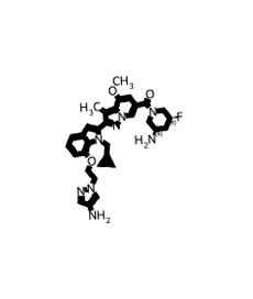 COc1cc(C(=O)N2C[C@H](N)C[C@@H](F)C2)cn2nc(-c3cc4cccc(OCCn5cc(N)cn5)c4n3CC3CC3)c(C)c12